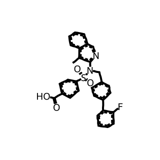 Cc1c(N(Cc2ccc(-c3ccccc3F)cc2)S(=O)(=O)c2ccc(C(=O)O)cc2)ncc2ccccc12